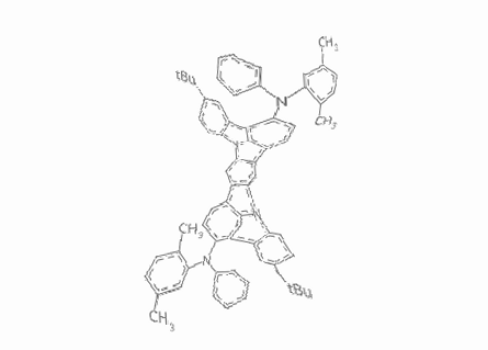 Cc1ccc(C)c(N(c2ccccc2)c2ccc3c4cc5c(cc4n4c6ccc(C(C)(C)C)cc6c2c34)c2ccc(N(c3ccccc3)c3cc(C)ccc3C)c3c4cc(C(C)(C)C)ccc4n5c23)c1